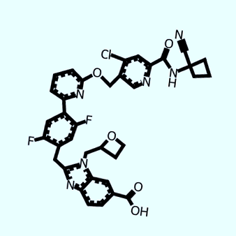 N#CC1(NC(=O)c2cc(Cl)c(COc3cccc(-c4cc(F)c(Cc5nc6ccc(C(=O)O)cc6n5CC5CCO5)cc4F)n3)cn2)CCC1